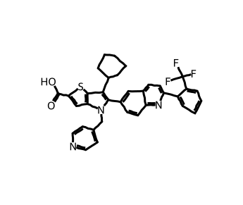 O=C(O)c1cc2c(s1)c(C1CCCCC1)c(-c1ccc3nc(-c4ccccc4C(F)(F)F)ccc3c1)n2Cc1ccncc1